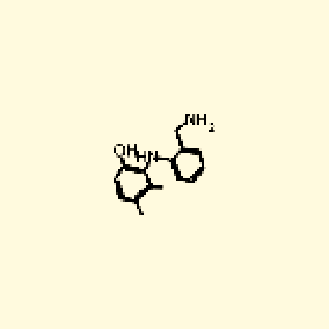 Cc1ccc(O)c(Nc2ccccc2CN)c1C